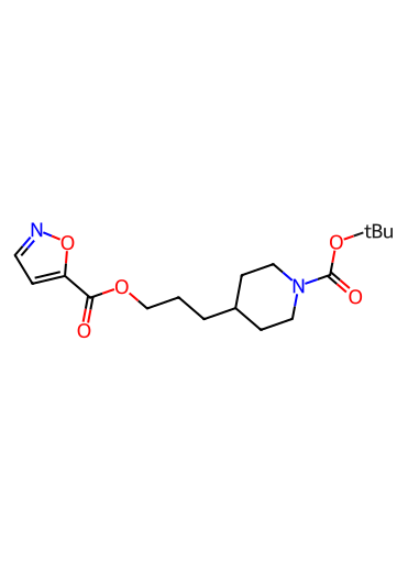 CC(C)(C)OC(=O)N1CCC(CCCOC(=O)c2ccno2)CC1